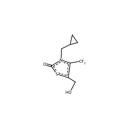 O=c1sc(CO)c(C(F)(F)F)n1CC1CC1